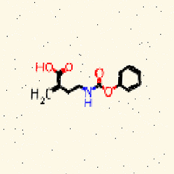 C=C(CCNC(=O)Oc1ccccc1)C(=O)O